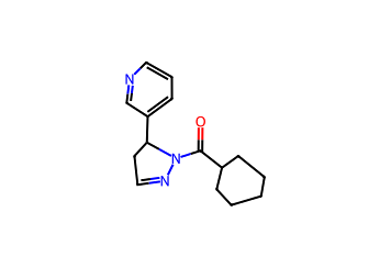 O=C(C1CCCCC1)N1N=CCC1c1cccnc1